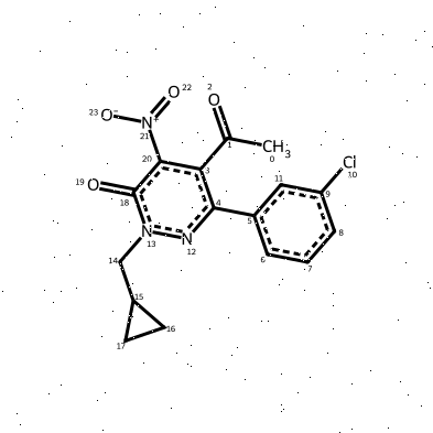 CC(=O)c1c(-c2cccc(Cl)c2)nn(CC2CC2)c(=O)c1[N+](=O)[O-]